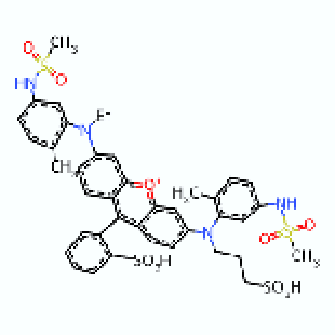 CCN(c1ccc2c(-c3ccccc3S(=O)(=O)O)c3ccc(N(CCCS(=O)(=O)O)c4cc(NS(C)(=O)=O)ccc4C)cc3[o+]c2c1)c1cc(NS(C)(=O)=O)ccc1C